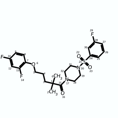 CC(C)(CCCOc1ccc(F)cc1F)C(=O)N1CCN(S(=O)(=O)c2cccc(F)c2)CC1